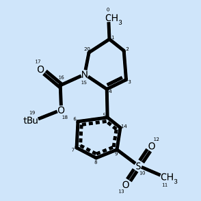 CC1CC=C(c2cccc(S(C)(=O)=O)c2)N(C(=O)OC(C)(C)C)C1